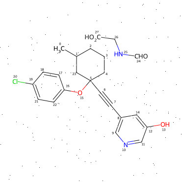 CC1CCCC(C#Cc2cncc(O)c2)(Oc2ccc(Cl)cc2)C1.O=CNCC(=O)O